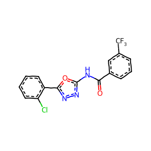 O=C(Nc1nnc(-c2ccccc2Cl)o1)c1cccc(C(F)(F)F)c1